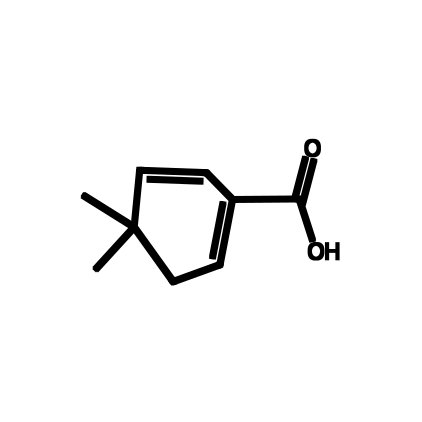 CC1(C)C=CC(C(=O)O)=CC1